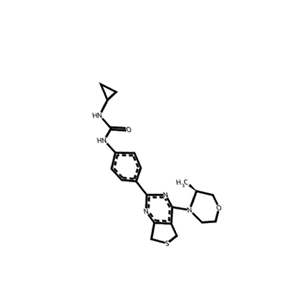 C[C@H]1COCCN1c1nc(-c2ccc(NC(=O)NC3CC3)cc2)nc2c1CSC2